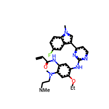 C=CC(=O)Nc1cc(Nc2nccc(-c3cn(C)c4ccc(F)cc34)n2)c(OCC)cc1N(C)CCNC